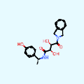 C[C@H](NC(=O)[C@H](O)[C@@H](O)C(=O)N1Cc2ccccc2C1)c1ccc(O)cc1